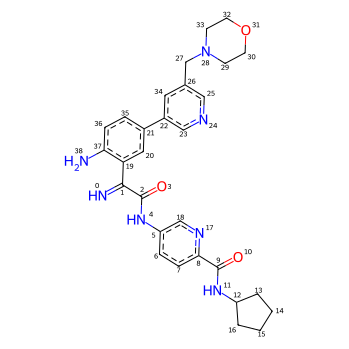 N=C(C(=O)Nc1ccc(C(=O)NC2CCCC2)nc1)c1cc(-c2cncc(CN3CCOCC3)c2)ccc1N